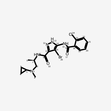 C[C@H](CN(C)C1CC1)NC(=O)c1n[nH]c(NC(=O)c2ccccc2Cl)c1Br